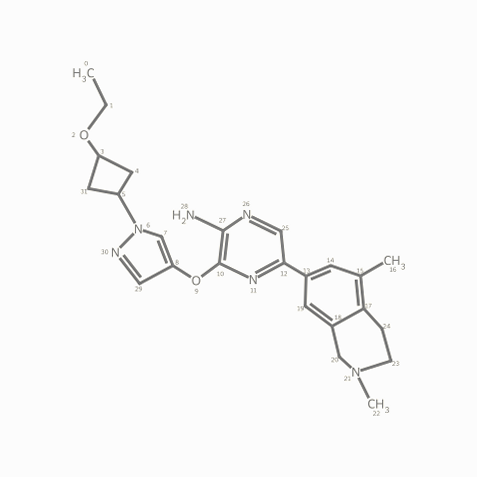 CCOC1CC(n2cc(Oc3nc(-c4cc(C)c5c(c4)CN(C)CC5)cnc3N)cn2)C1